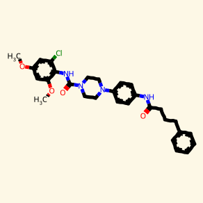 COc1cc(Cl)c(NC(=O)N2CCN(c3ccc(NC(=O)CCCc4ccccc4)cc3)CC2)c(OC)c1